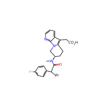 CC(C)C(C(=O)N(C)[C@@H]1CCc2c(CC(=O)O)c3cccnc3n2C1)c1ccc(F)cc1